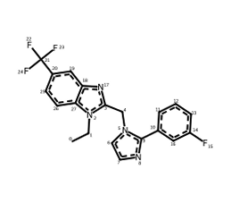 CCn1c(Cn2ccnc2-c2cccc(F)c2)nc2cc(C(F)(F)F)ccc21